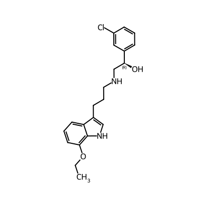 CCOc1cccc2c(CCCNC[C@H](O)c3cccc(Cl)c3)c[nH]c12